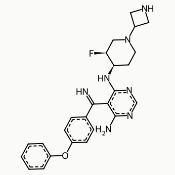 N=C(c1ccc(Oc2ccccc2)cc1)c1c(N)ncnc1N[C@@H]1CCN(C2CNC2)C[C@@H]1F